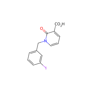 O=C(O)c1cccn(Cc2cccc(I)c2)c1=O